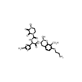 CCN1CCN(C(=O)NC(C(=O)N[C@H]2Cc3ccc(SCCN)c(C(=O)O)c3OB2O)c2csc(N)n2)C(=O)C1=O